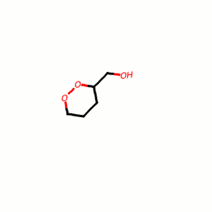 OCC1CCCOO1